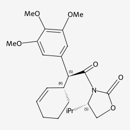 COc1cc([C@@H](C(=O)N2C(=O)OC[C@@H]2C(C)C)[C@H]2C=CCCC2)cc(OC)c1OC